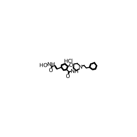 Cl.O=C(C=Cc1ccc2c(c1)C(=O)NC1(CCN(CCc3ccccc3)CC1)O2)NO